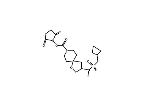 CN(C1COC2(CCN(C(=O)ON3C(=O)CCC3=O)CC2)C1)S(=O)(=O)CC1CCC1